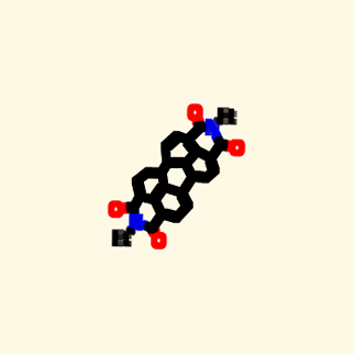 CCN1C(=O)c2ccc3c4ccc5c6c(ccc(c7ccc(c2c37)C1=O)c64)C(=O)N(CC)C5=O